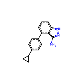 Nc1n[nH]c2cccc(-c3ccc(C4CC4)cc3)c12